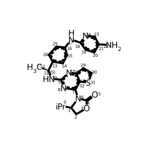 CC(C)C1COC(=O)N1c1nc(N[C@@H](C)c2ccc(Nc3ccc(N)cn3)cc2)nc2ccsc12